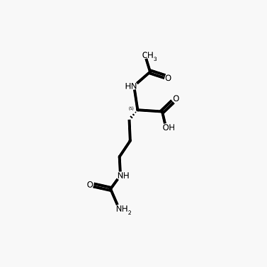 CC(=O)N[C@@H](CCCNC(N)=O)C(=O)O